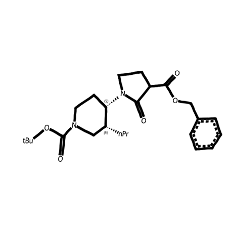 CCC[C@@H]1CN(C(=O)OC(C)(C)C)CC[C@@H]1N1CCC(C(=O)OCc2ccccc2)C1=O